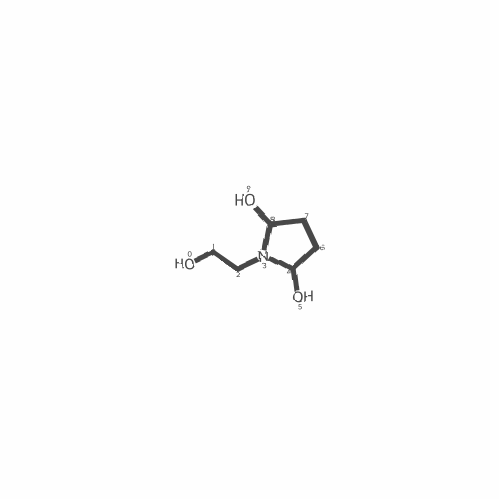 OCCN1C(O)CCC1O